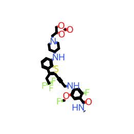 CNC(=O)c1cc(OCF)c(NCC#Cc2sc3c(NC4CCN(CC5COC(=O)O5)CC4)cccc3c2CC(F)(F)F)cc1F